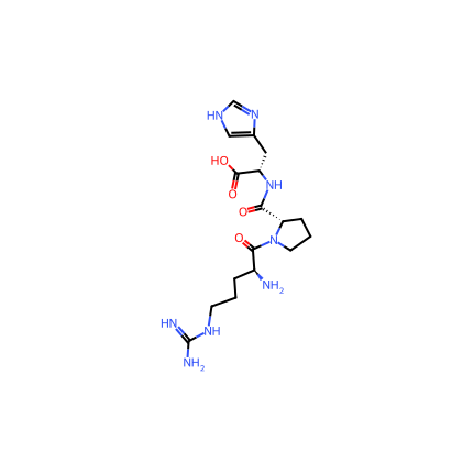 N=C(N)NCCC[C@H](N)C(=O)N1CCC[C@H]1C(=O)N[C@@H](Cc1c[nH]cn1)C(=O)O